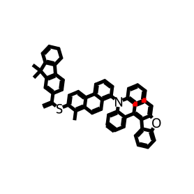 C=C(Sc1ccc2c(ccc3c(N(c4ccccc4)c4cc#ccc4-c4cccc5oc6ccccc6c45)cccc32)c1C)c1ccc2c(c1)C(C)(C)C1=C2CCC=C1